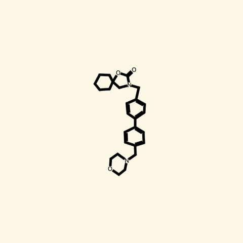 O=C1OC2(CCCCC2)CN1Cc1ccc(-c2ccc(CN3CCOCC3)cc2)cc1